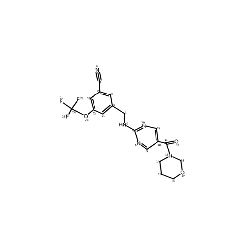 N#Cc1cc(CNc2ncc(C(=O)N3CCCOC3)cn2)cc(OC(F)(F)F)c1